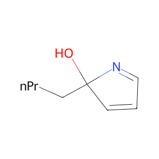 CCCCC1(O)C=CC=N1